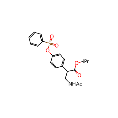 CC(=O)NCC(C(=O)OC(C)C)c1ccc(OS(=O)(=O)c2ccccc2)cc1